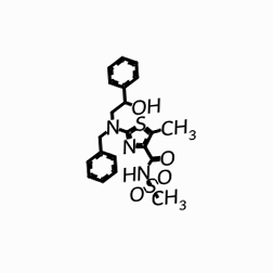 Cc1sc(N(Cc2ccccc2)CC(O)c2ccccc2)nc1C(=O)NS(C)(=O)=O